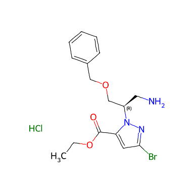 CCOC(=O)c1cc(Br)nn1[C@H](CN)COCc1ccccc1.Cl